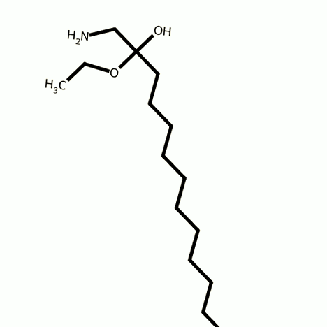 CCCCCCCCCCCC(O)(CN)OCC